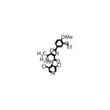 CCOc1cc(-c2nc(C(=O)Nc3c(Cl)cncc3Cl)c([C@H](C)N)o2)ccc1OC